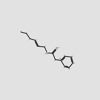 CCCC=CCOC(=O)Cc1ccccc1